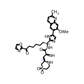 COc1cc2nc(C)ccc2cc1-c1cnc([C@H](CCCCCC(=O)c2ncco2)NC(=O)C(=N)/C=C2/CS(=O)(=O)CCN2)[nH]1